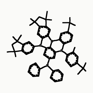 Cc1cc(C(C)(C)C)ccc1N1c2ccc(C(C)(C)C)cc2B2c3cc4c(cc3N(c3ccc5c(c3)C(C)(C)CC5(C)C)c3cc(N(c5ccccc5)c5ccccc5)cc1c32)C(C)(C)CC4(C)C